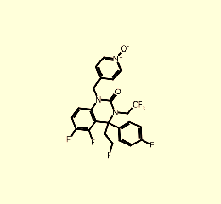 O=C1N(Cc2cc[n+]([O-])cc2)c2ccc(F)c(F)c2C(CCF)(c2ccc(F)cc2)N1CC(F)(F)F